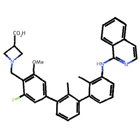 COc1cc(-c2cccc(-c3cccc(Nc4nccc5ccccc45)c3C)c2C)cc(F)c1CN1CC(C(=O)O)C1